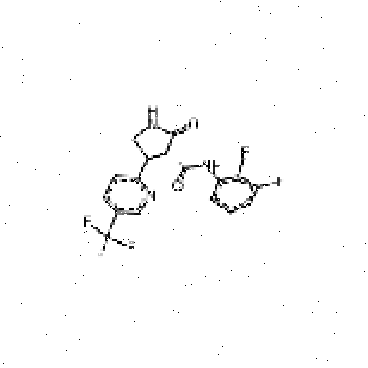 O=C1NCC(c2ccc(C(F)(F)F)cn2)[C@H]1C(=O)Nc1cccc(F)c1F